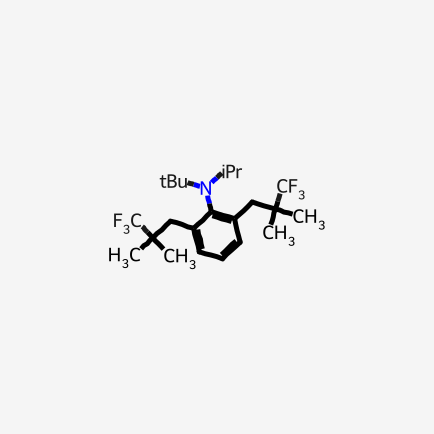 CC(C)N(c1c(CC(C)(C)C(F)(F)F)cccc1CC(C)(C)C(F)(F)F)C(C)(C)C